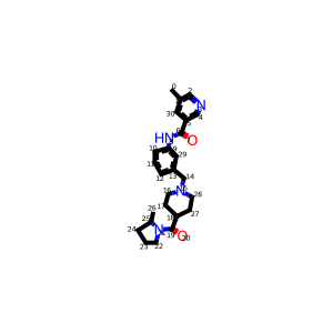 Cc1cncc(C(=O)Nc2cccc(CN3CCC(C(=O)N4CCCC4C)CC3)c2)c1